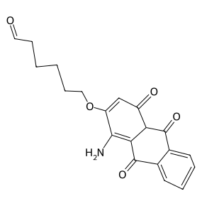 NC1=C2C(=O)c3ccccc3C(=O)C2C(=O)C=C1OCCCCCC=O